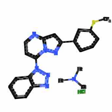 CCN(CC)CC.Cl.FC(F)(F)Sc1cccc(-c2cc3nccc(-n4nnc5ccccc54)n3n2)c1